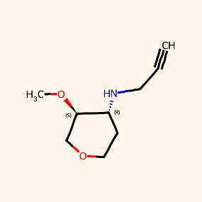 C#CCN[C@@H]1CCOC[C@H]1OC